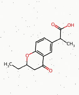 CCC1CC(=O)c2cc(C(C)C(=O)O)ccc2O1